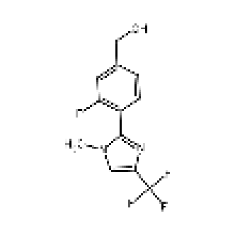 Cn1cc(C(F)(F)F)nc1-c1ccc(CO)cc1F